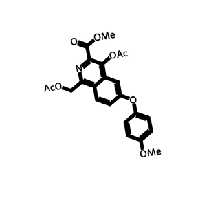 COC(=O)c1nc(COC(C)=O)c2ccc(Oc3ccc(OC)cc3)cc2c1OC(C)=O